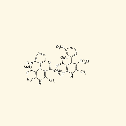 CCOC(=O)C1=C(C)NC(C)=C(C(=O)OC)C1c1cccc([N+](=O)[O-])c1.COC(=O)C1=C(C)NC(C)=C(C(=O)OC)C1c1ccccc1[N+](=O)[O-]